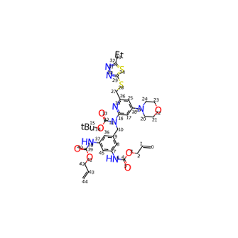 C=CCOC(=O)Nc1cc(CN(C(=O)OC(C)(C)C)c2cc(N3CCOCC3)cc(CSc3nnc(CC)s3)n2)cc(NC(=O)OCC=C)c1